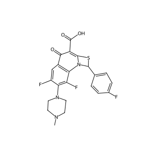 CN1CCN(c2c(F)cc3c(=O)c(C(=O)O)c4n(c3c2F)C(c2ccc(F)cc2)S4)CC1